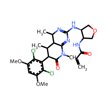 C=CC(=O)NC1COC[C@@H]1NC1=NC(C)C2C(=N1)N(C)C(=O)C(c1c(Cl)c(OC)cc(OC)c1Cl)C2C